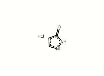 Cl.O=c1cc[nH][nH]1